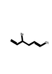 C=CC(Br)CC=CCC